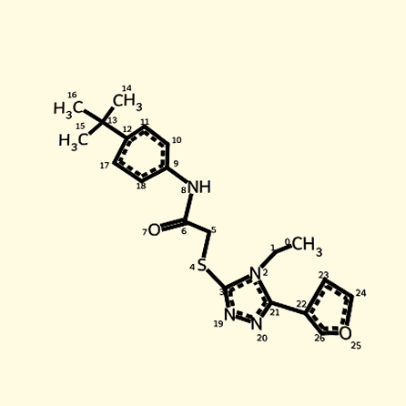 CCn1c(SCC(=O)Nc2ccc(C(C)(C)C)cc2)nnc1-c1ccoc1